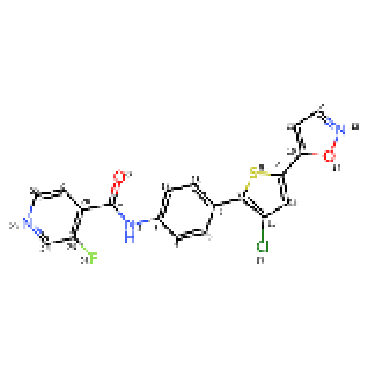 O=C(Nc1ccc(-c2sc(-c3ccno3)cc2Cl)cc1)c1ccncc1F